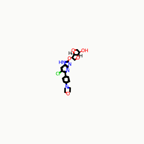 O[C@@H]1CO[C@H]2[C@@H]1OC[C@H]2Oc1nc2nc(-c3ccc(N4CCOCC4)cc3)c(Cl)cc2[nH]1